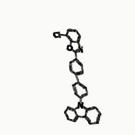 Clc1cccc2nc(-c3ccc(-c4ccc(-n5c6ccccc6c6ccccc65)cc4)cc3)oc12